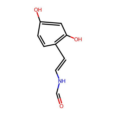 O=CNC=Cc1ccc(O)cc1O